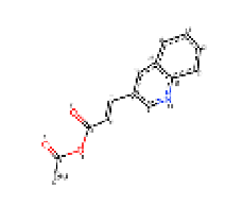 CC(C)(C)C(=O)OC(=O)/C=C/c1cnc2ccccc2c1